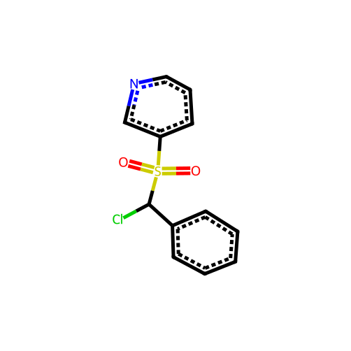 O=S(=O)(c1cccnc1)C(Cl)c1ccccc1